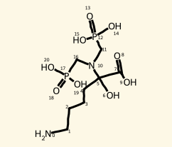 NCCCCC(O)(C(=O)O)N(CP(=O)(O)O)CP(=O)(O)O